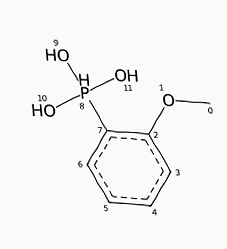 COc1ccccc1[PH](O)(O)O